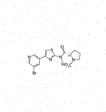 CN(C(=O)[C@@H]1CCCN1C(=O)O)c1nc(-c2cncc(Br)c2)cs1